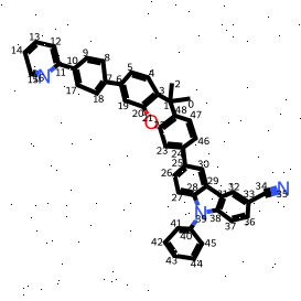 CC1(C)c2ccc(-c3ccc(-c4ccccn4)cc3)cc2Oc2cc(-c3ccc4c(c3)c3cc(C#N)ccc3n4-c3ccccc3)ccc21